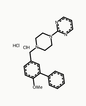 COc1ccc(CN2CCN(c3ncccn3)CC2)cc1-c1ccccc1.Cl.Cl